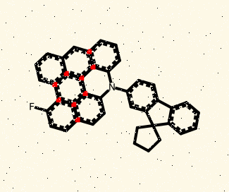 Fc1ccccc1-c1cccc2cccc(-c3ccccc3N(c3ccc4c(c3)C3(CCCC3)c3ccccc3-4)c3ccccc3-c3ccccc3)c12